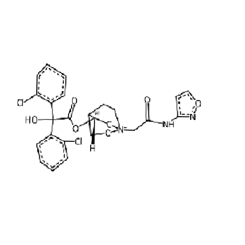 O=C(C[N+]12CCC(CC1)[C@@H](OC(=O)C(O)(c1ccccc1Cl)c1ccccc1Cl)C2)Nc1ccon1